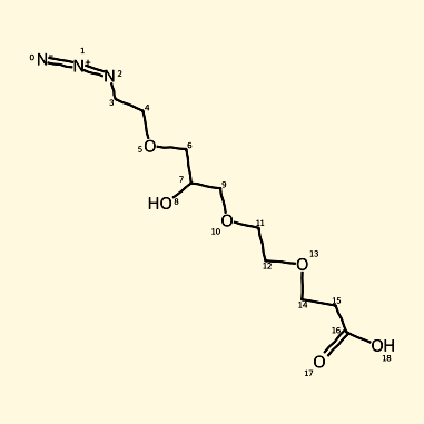 [N-]=[N+]=NCCOCC(O)COCCOCCC(=O)O